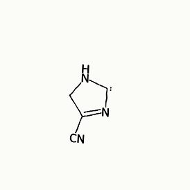 N#CC1=N[C]NC1